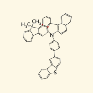 CC1(C)c2ccccc2-c2cc(N(C3=C(c4ccccc4)C4=CC=CCC4C=C3)c3ccc(-c4ccc5sc6ccccc6c5c4)cc3)ccc21